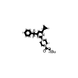 CC(C)(C)OC(=O)N1CCN(c2nc(C3CC3)cc(C(F)(F)c3ccccc3)n2)CC1